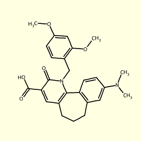 COc1ccc(Cn2c3c(cc(C(=O)O)c2=O)CCCc2cc(N(C)C)ccc2-3)c(OC)c1